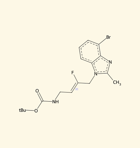 Cc1nc2c(Br)cccc2n1C/C(F)=C/CNC(=O)OC(C)(C)C